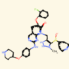 CN1NNC(Cn2c(=O)c(Oc3ccccc3F)cc3cnc(Nc4ccc(OC5CCNCC5)cc4)nc32)=C1[S+]([O-])c1ccncc1